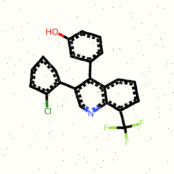 Oc1cccc(-c2c(-c3ccccc3Cl)cnc3c(C(F)(F)F)cccc23)c1